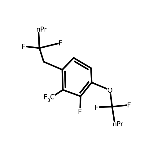 CCCC(F)(F)Cc1ccc(OC(F)(F)CCC)c(F)c1C(F)(F)F